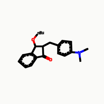 CCCCOC1c2ccccc2C(=O)C1Cc1ccc(N(C)C)cc1